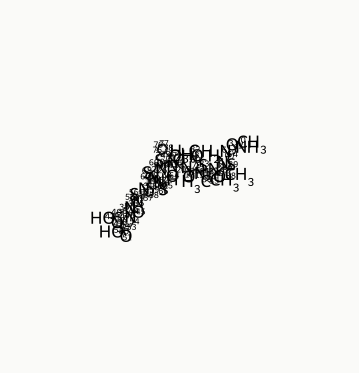 CNC(=O)C[C@H](N)c1nc(C(=O)NC(c2nc(C(=O)NCC(=O)N[C@H](c3nc(-c4nc(-c5nc(-c6nc(N(CCCC(=O)O)C(=O)N7CCC(C(=O)O)CC7)cs6)ccc5-c5nc(C=O)cs5)cs4)cs3)[C@@H](O)c3ccccc3)c(COC)s2)C(C)C)c(C)s1